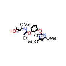 CC/C=C(/N=C(\C=C(/C)O)OC)Oc1cccc(Oc2nc(OC)cc(OC)n2)c1C(=O)O